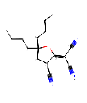 CCCCC1(CCCC)CC(C#N)C(=C(C#N)C#N)O1